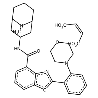 CN1C2CCCC1CC(NC(=O)c1cccc3oc(-c4ccccc4N4CCOCC4)nc13)C2.O=C(O)/C=C\C(=O)O